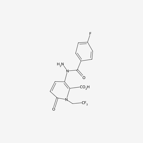 NN(C(=O)c1ccc(F)cc1)c1ccc(=O)n(CC(F)(F)F)c1C(=O)O